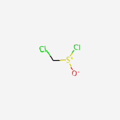 [O-][S+](Cl)CCl